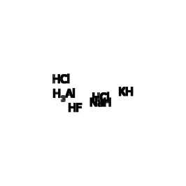 Cl.Cl.F.[AlH3].[KH].[NaH]